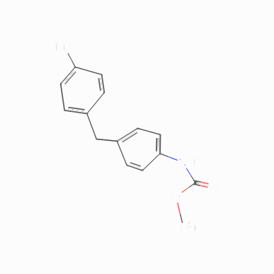 CCCOC(=O)Nc1ccc(Cc2ccc(CC)cc2)cc1